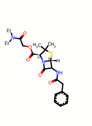 CCN(CC)C(=O)COC(=O)[C@@H]1N2C(=O)C(NC(=O)Cc3ccccc3)[C@H]2SC1(C)C